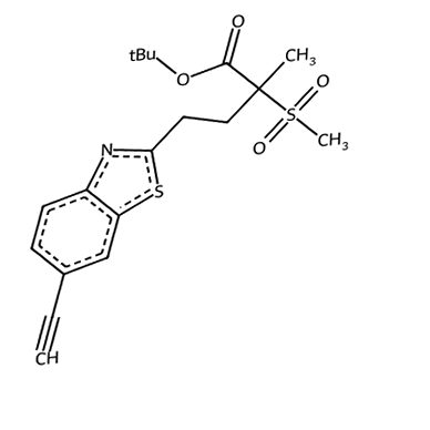 C#Cc1ccc2nc(CCC(C)(C(=O)OC(C)(C)C)S(C)(=O)=O)sc2c1